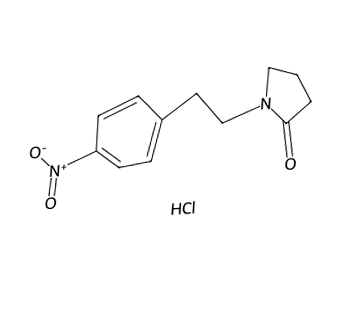 Cl.O=C1CCCN1CCc1ccc([N+](=O)[O-])cc1